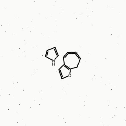 C1=C=Cc2ccoc2CC=1.c1cc[nH]c1